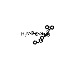 NCCOCCOCCOCCN(Cc1ccc2cc(Cc3ccccc3)oc2c1)C(=O)OCC1c2ccccc2-c2ccccc21